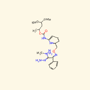 COC(CC(C)OC(=O)Nc1cccc(CO/N=C(\C(=N\N)N(C)N)c2ccccc2)n1)OC